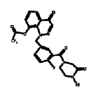 CCN1CCN(C(=O)c2cc(Cn3ncc(=O)c4cccc(OC(=O)C(F)(F)F)c43)ccc2F)CC1=O